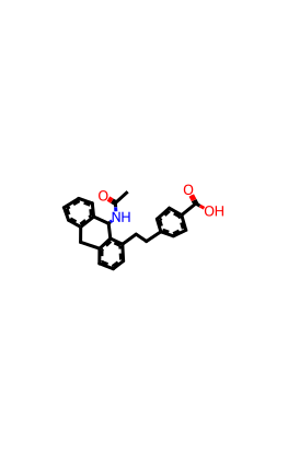 CC(=O)NC1c2ccccc2Cc2cccc(CCc3ccc(C(=O)O)cc3)c21